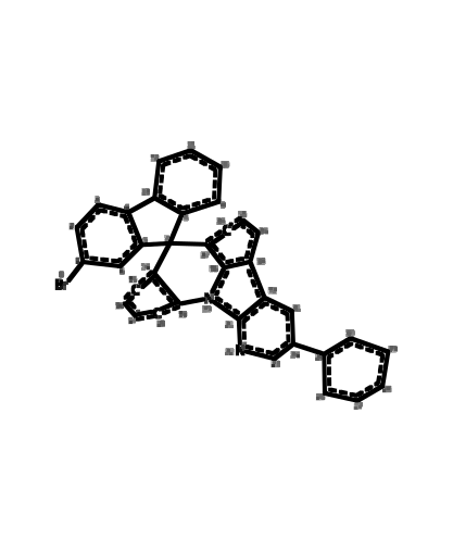 Brc1ccc2c(c1)C1(c3ccccc3-2)c2ccccc2-n2c3ncc(-c4ccccc4)cc3c3cccc1c32